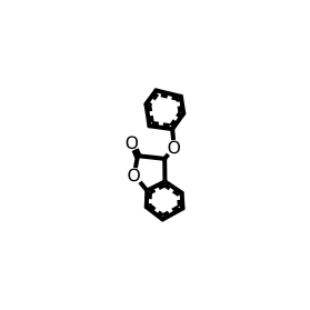 O=C1Oc2ccccc2C1Oc1ccccc1